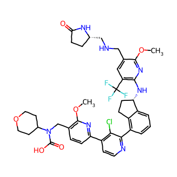 COc1nc(-c2ccnc(-c3cccc4c3CC[C@@H]4Nc3nc(OC)c(CNC[C@@H]4CCC(=O)N4)cc3C(F)(F)F)c2Cl)ccc1CN(C(=O)O)C1CCOCC1